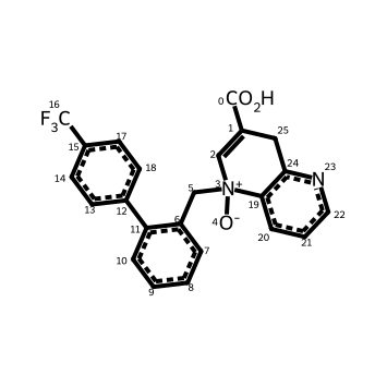 O=C(O)C1=C[N+]([O-])(Cc2ccccc2-c2ccc(C(F)(F)F)cc2)c2cccnc2C1